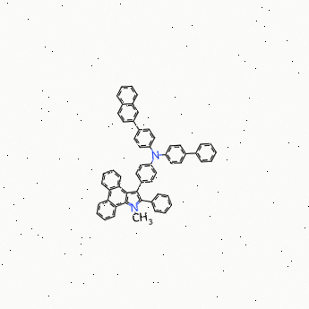 Cn1c(-c2ccccc2)c(-c2ccc(N(c3ccc(-c4ccccc4)cc3)c3ccc(-c4ccc5ccccc5c4)cc3)cc2)c2c3ccccc3c3ccccc3c21